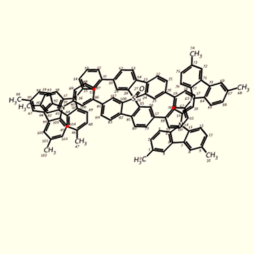 Cc1ccc2c(c1)c1cc(C)ccc1n2-c1cccc(-c2ccc3c(c2)S2(=O)(c4cc(-c5cccc(-n6c7ccc(C)cc7c7cc(C)ccc76)c5)ccc4-3)c3cc(-c4cccc(-n5c6ccc(C)cc6c6cc(C)ccc65)c4)ccc3-c3ccc(-c4cccc(-n5c6ccc(C)cc6c6cc(C)ccc65)c4)cc32)c1